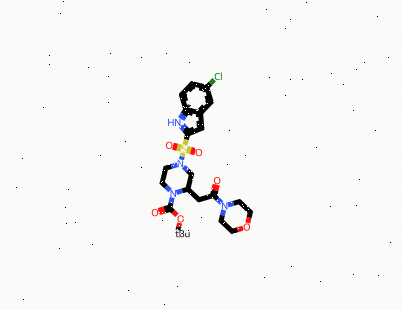 CC(C)(C)OC(=O)N1CCN(S(=O)(=O)c2cc3cc(Cl)ccc3[nH]2)CC1CC(=O)N1CCOCC1